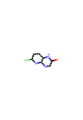 O=c1cnc2nc(Cl)ccc2[nH]1